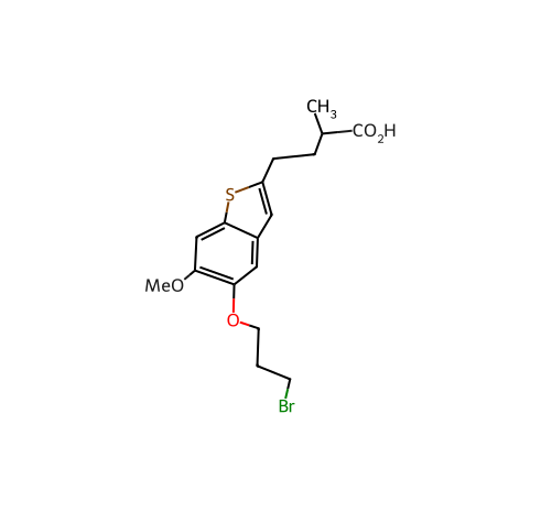 COc1cc2sc(CCC(C)C(=O)O)cc2cc1OCCCBr